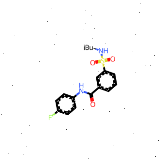 CC[C@H](C)NS(=O)(=O)c1cccc(C(=O)Nc2ccc(F)cc2)c1